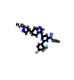 CSNc1cc(-c2ccc(F)cc2F)nc(-c2cnc3cc(-c4cnn(C)c4)ccn23)c1